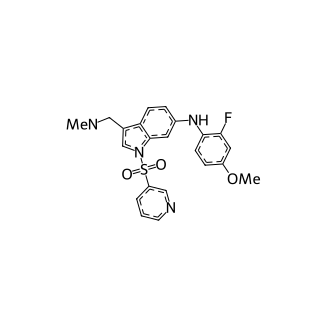 CNCc1cn(S(=O)(=O)c2cccnc2)c2cc(Nc3ccc(OC)cc3F)ccc12